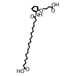 O=C(O)CCCCCCCCCCCCCCCCCCC(=O)Nc1ccccc1OCCCC(=O)O